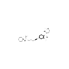 Cn1c(=O)n(C2CCC(=O)NC2=O)c2ccc(C#CCCCNC(=O)C3(N)CCCCC3)cc21